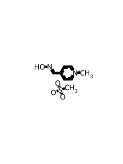 CS(=O)(=O)[O-].C[n+]1ccc(C=NO)cc1